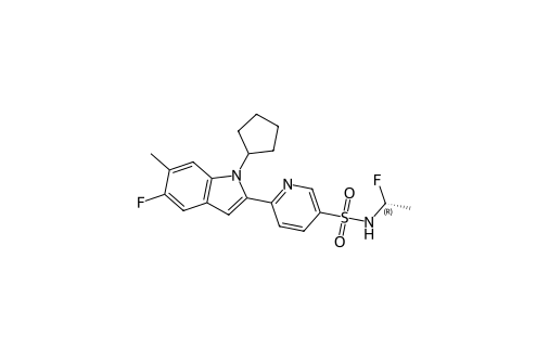 Cc1cc2c(cc1F)cc(-c1ccc(S(=O)(=O)N[C@@H](C)F)cn1)n2C1CCCC1